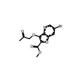 COC(=O)c1oc2cc(Br)cnc2c1OCC(C)=O